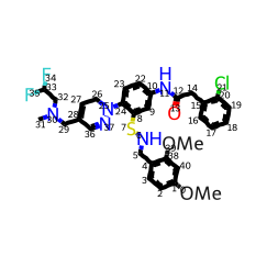 COc1ccc(CNSc2cc(NC(=O)Cc3ccccc3Cl)ccc2N2CC=C(CN(C)CC(F)F)C=N2)c(OC)c1